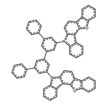 c1ccc(-c2cc(-c3cc(-c4ccccc4)cc(-n4c5ccccc5c5c6oc7ccccc7c6ccc54)c3)cc(-n3c4ccccc4c4c5oc6ccccc6c5ccc43)c2)cc1